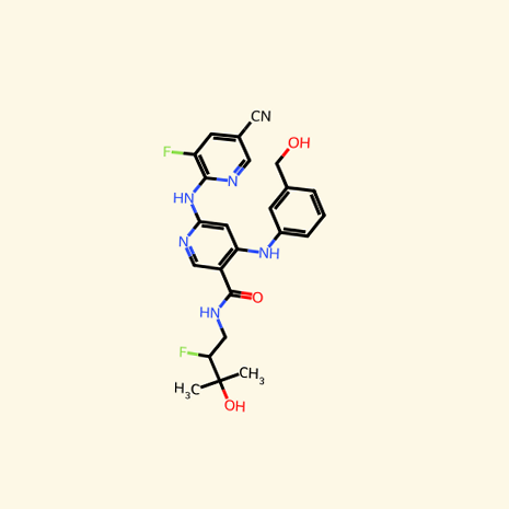 CC(C)(O)C(F)CNC(=O)c1cnc(Nc2ncc(C#N)cc2F)cc1Nc1cccc(CO)c1